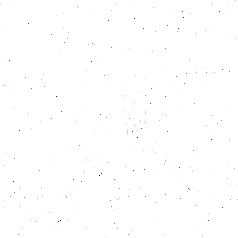 CC1(C)O[C@@H]2[C@H](O1)[C@@H](COS(=O)(=O)NC(=O)c1cccnc1Cl)O[C@H]2n1cnc2c(N)ncnc21.CCN(CC)CC